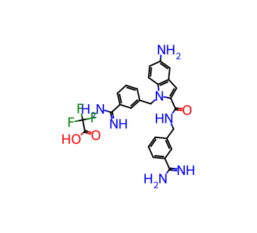 N=C(N)c1cccc(CNC(=O)c2cc3cc(N)ccc3n2Cc2cccc(C(=N)N)c2)c1.O=C(O)C(F)(F)F